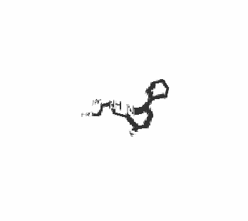 CC(C)[C@H](CO)NCc1nc(-c2cc[c]cc2)ccc1F